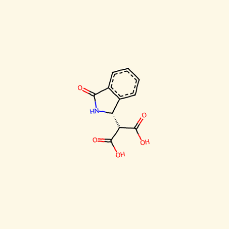 O=C1N[C@@H](C(C(=O)O)C(=O)O)c2ccccc21